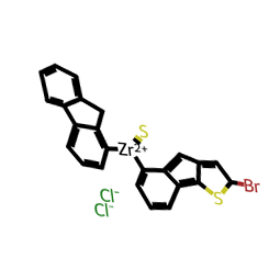 [Cl-].[Cl-].[S]=[Zr+2]([c]1cccc2c1Cc1ccccc1-2)[c]1cccc2c1=CC1=CC(Br)SC=21